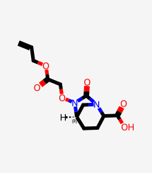 C=CCOC(=O)CON1C(=O)N2C[C@H]1CCC2C(=O)O